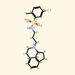 Cc1ccc(F)cc1S(=O)(=O)NCCCN1CCc2cccc3c2C1CC3